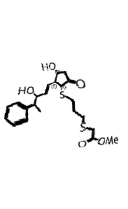 COC(=O)CSCCCS[C@H]1C(=O)C[C@@H](O)[C@@H]1C=CC(O)C(C)c1ccccc1